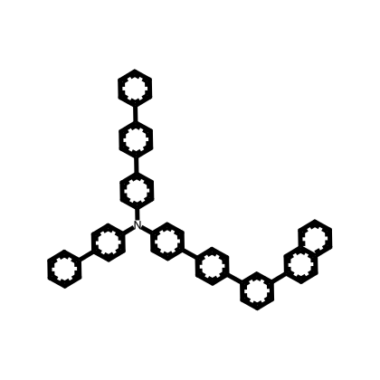 c1ccc(-c2ccc(-c3ccc(N(c4ccc(-c5ccccc5)cc4)c4ccc(-c5ccc(-c6cccc(-c7ccc8ccccc8c7)c6)cc5)cc4)cc3)cc2)cc1